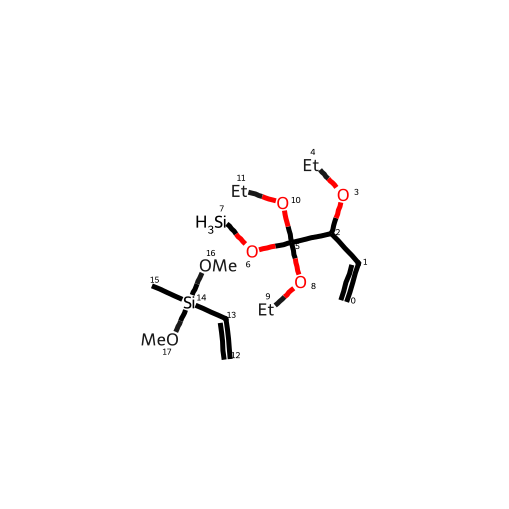 C=CC(OCC)C(O[SiH3])(OCC)OCC.C=C[Si](C)(OC)OC